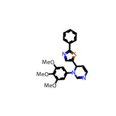 COc1cc(N2C=NC=CC2c2cnc(-c3ccccc3)s2)cc(OC)c1OC